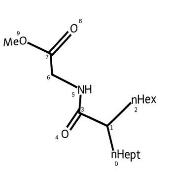 CCCCCCCC(CCCCCC)C(=O)NCC(=O)OC